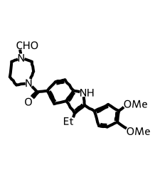 CCc1c(-c2ccc(OC)c(OC)c2)[nH]c2ccc(C(=O)N3CCCN(C=O)CC3)cc12